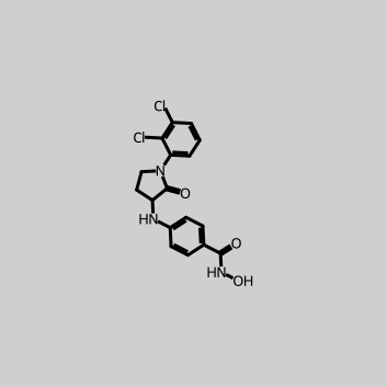 O=C(NO)c1ccc(NC2CCN(c3cccc(Cl)c3Cl)C2=O)cc1